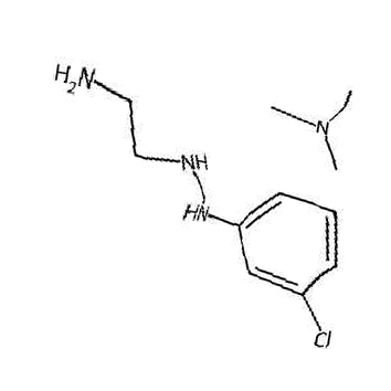 CN(C)C.NCCNNc1cccc(Cl)c1